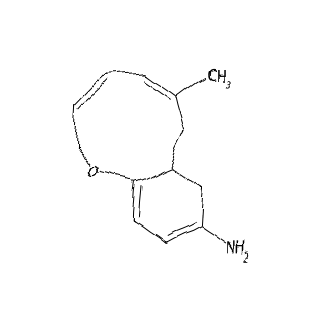 C/C1=C/C=C\COC2=CC=C(N)CC2C1